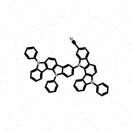 N#Cc1ccc2c3ccc4c(c5ccccc5n4-c4ccccc4)c3n(-c3ccc4c(c3)c3ccc5c(c6ccccc6n5-c5ccccc5)c3n4-c3ccccc3)c2c1